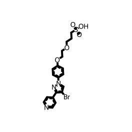 O=S(=O)(O)CCCOCCOc1ccc(-n2cc(Br)c(-c3ccncc3)n2)cc1